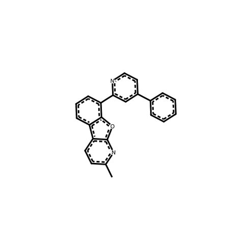 Cc1ccc2c(n1)oc1c(-c3cc(-c4ccccc4)ccn3)cccc12